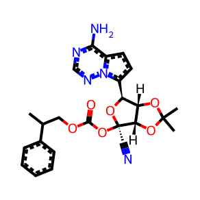 CC(COC(=O)O[C@@]1(C#N)O[C@@H](c2ccc3c(N)ncnn23)[C@@H]2OC(C)(C)O[C@@H]21)c1ccccc1